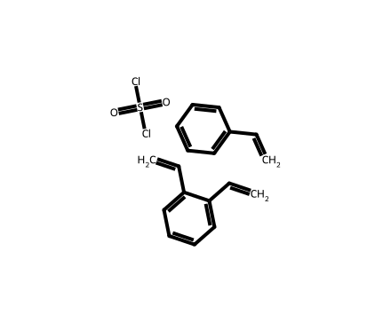 C=Cc1ccccc1.C=Cc1ccccc1C=C.O=S(=O)(Cl)Cl